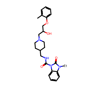 CCn1c(=O)n(C(=O)NCC2CCN(CC(O)COc3ccccc3C)CC2)c2ccccc21